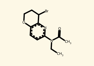 CCN(C(C)=O)c1ccc2c(n1)C(Br)CCO2